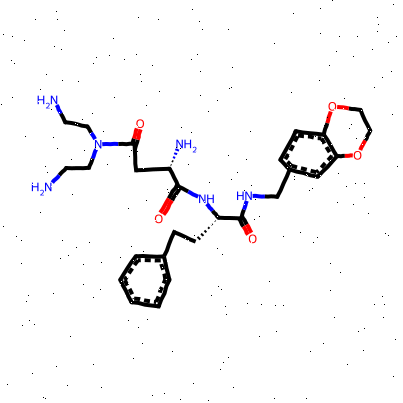 NCCN(CCN)C(=O)C[C@H](N)C(=O)N[C@@H](CCc1ccccc1)C(=O)NCc1ccc2c(c1)OCCO2